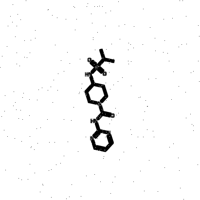 CC(C)S(=O)(=O)NC1CCN(C(=O)Nc2ncccn2)CC1